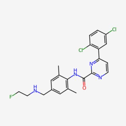 Cc1cc(CNCCF)cc(C)c1NC(=O)c1nccc(-c2cc(Cl)ccc2Cl)n1